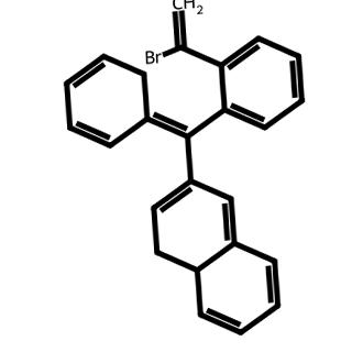 C=C(Br)c1ccccc1/C(C1=CCC2C=CC=CC2=C1)=C1/C=CC=CC1